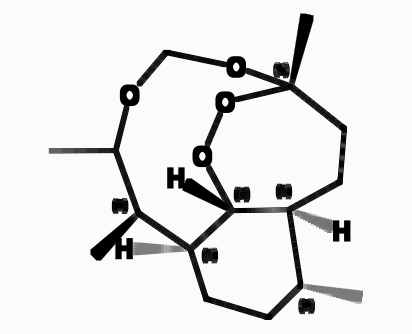 CC1OCO[C@]2(C)CC[C@@H]3[C@@H](OO2)[C@@H](CC[C@H]3C)[C@H]1C